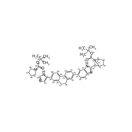 CC(C)(C)OC(=O)N1C2CCC(C2)C1c1nc2ccc(-c3ccc4c(c3)CCc3cc(-c5cnc([C@@H]6CCCN6C(=O)OC(C)(C)C)[nH]5)ccc3-4)cc2[nH]1